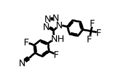 N#Cc1cc(F)c(Nc2nnnn2-c2ccc(C(F)(F)F)cc2)cc1F